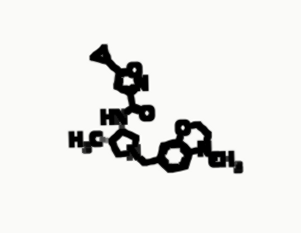 C[C@H]1CN(Cc2ccc3c(c2)OCCN3C)C[C@H]1NC(=O)c1cc(C2CC2)on1